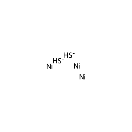 [Ni].[Ni].[Ni].[SH-].[SH-]